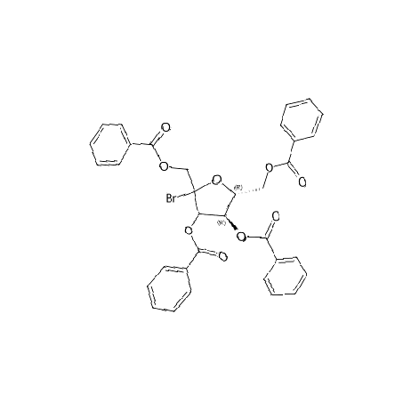 O=C(OC[C@H]1OC(Br)(COC(=O)c2ccccc2)C(OC(=O)c2ccccc2)[C@@H]1OC(=O)c1ccccc1)c1ccccc1